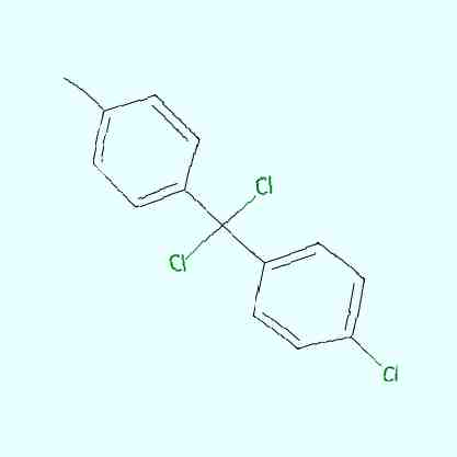 Cc1ccc(C(Cl)(Cl)c2ccc(Cl)cc2)cc1